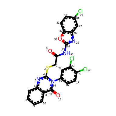 O=C(CSc1nc2ccccc2c(=O)n1-c1ccc(Cl)c(Cl)c1)Nc1nc2cc(Cl)ccc2o1